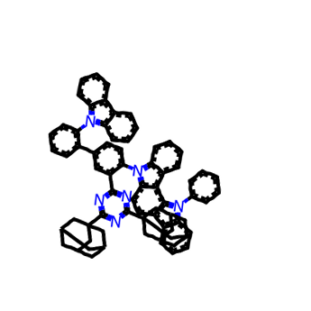 c1ccc(-n2c3ccccc3c3ccc4c(c5ccccc5n4-c4ccc(-c5ccccc5-n5c6ccccc6c6ccccc65)cc4-c4nc(C56CC7CC(CC(C7)C5)C6)nc(C56CC7CC(CC(C7)C5)C6)n4)c32)cc1